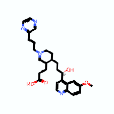 COc1ccc2nccc([C@@H](O)CCC3CCN(CCCc4cnccn4)CC3CCC(=O)O)c2c1